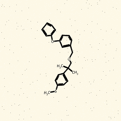 CSc1ccc(C(C)(C)COCc2cccc(Oc3ccccc3)c2)cc1